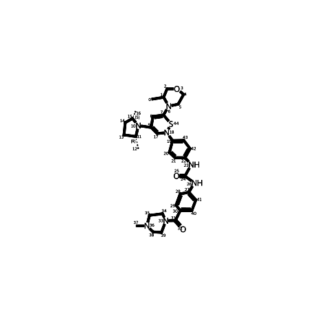 CC1COCCN1C1=CC(N2[C@H](C)CC[C@@H]2C)=CN(c2ccc(NC(=O)Nc3ccc(C(=O)N4CCN(C)CC4)cc3)cc2)S1